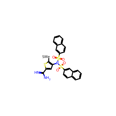 CSc1sc(C(=N)N)cc1N(S(=O)(=O)c1ccc2ccccc2c1)S(=O)(=O)c1ccc2ccccc2c1